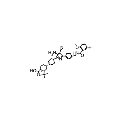 COc1ccc(F)cc1C(=O)NCc1ccc(-c2nn(C3CCN(C4CCN(C(=O)O)C(C(C)(C)C)C4)CC3)c(N)c2C#N)cc1